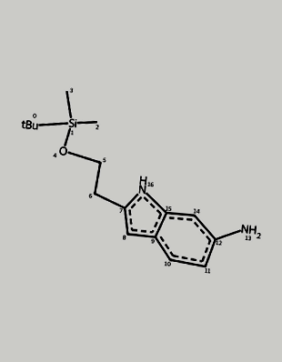 CC(C)(C)[Si](C)(C)OCCc1cc2ccc(N)cc2[nH]1